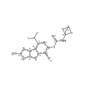 CC(C)c1nn(CC(=O)NC23CC(C2)C3)c(=O)c2cc3sc(Cl)cc3n12